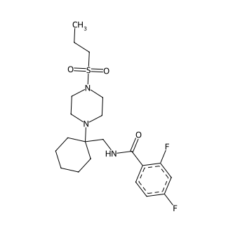 CCCS(=O)(=O)N1CCN(C2(CNC(=O)c3ccc(F)cc3F)CCCCC2)CC1